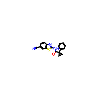 N#Cc1ccc2nc(NC(=O)C3(c4ccccc4)CC3)sc2c1